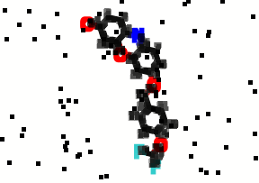 O=c1ccc2nc3ccc(OCc4ccc(OC(F)F)cc4)cc3oc-2c1